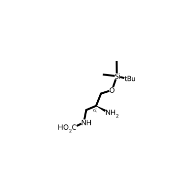 CC(C)(C)[Si](C)(C)OC[C@@H](N)CNC(=O)O